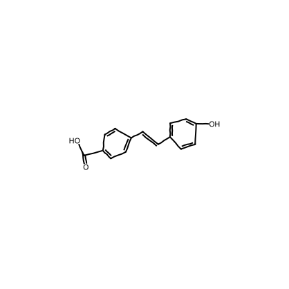 O=C(O)c1ccc(C=Cc2ccc(O)cc2)cc1